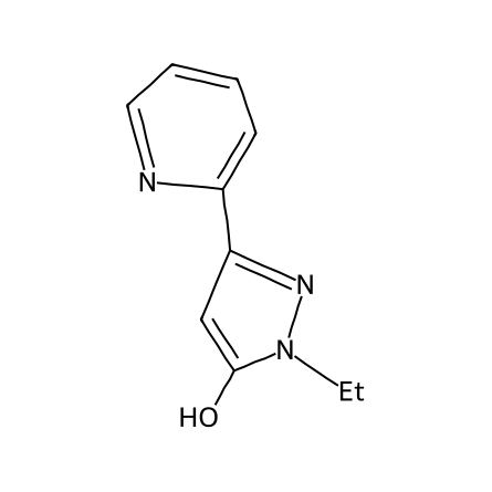 CCn1nc(-c2ccccn2)cc1O